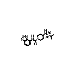 CC(C)S(=O)(=O)NC1CCN(C(=O)Nc2cccc3nsnc23)CC1